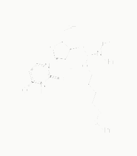 [2H]C[C@H]1O[C@@H](n2ccc(=O)[nH]c2=O)[C@@H](F)C1OP(OCCCCSSC(C)C)N(C(C)C)C(C)C